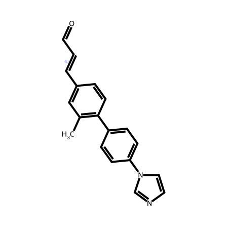 Cc1cc(/C=C/C=O)ccc1-c1ccc(-n2ccnc2)cc1